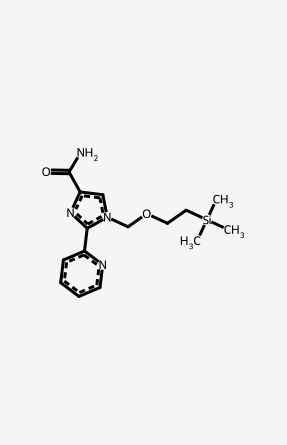 C[Si](C)(C)CCOCn1cc(C(N)=O)nc1-c1ccccn1